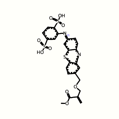 C=C(COCc1ccc2sc3c/c(=N\c4cc(S(=O)(=O)O)ccc4S(=O)(=O)O)ccc-3nc2c1)C(=O)OC